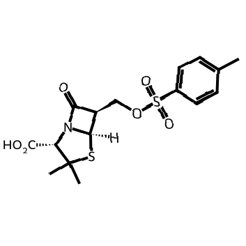 Cc1ccc(S(=O)(=O)OC[C@@H]2C(=O)N3[C@@H]2SC(C)(C)[C@@H]3C(=O)O)cc1